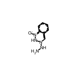 NNN1C=c2ccccc2=[N+]([O-])N1